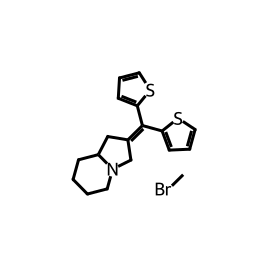 CBr.c1csc(C(=C2CC3CCCCN3C2)c2cccs2)c1